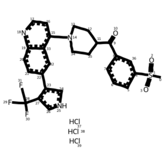 CS(=O)(=O)c1cccc(C(=O)C2CCN(c3ccnc4ccc(-c5c[nH]cc5C(F)(F)F)cc34)CC2)c1.Cl.Cl.Cl